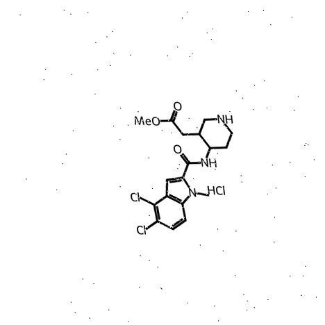 COC(=O)CC1CNCCC1NC(=O)c1cc2c(Cl)c(Cl)ccc2n1C.Cl